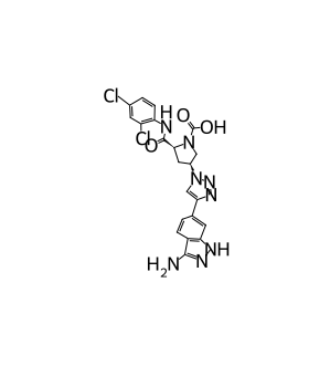 Nc1n[nH]c2cc(-c3cn([C@H]4C[C@@H](C(=O)Nc5ccc(Cl)cc5Cl)N(C(=O)O)C4)nn3)ccc12